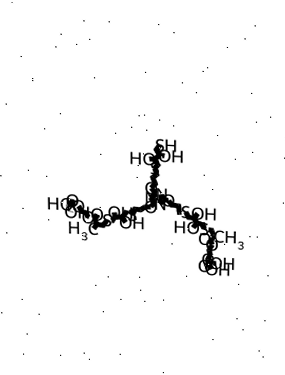 CC(CSCC(O)C(O)CSCCCOc1nc(OCCCSCC(O)C(O)CS)nc(OCCCSCC(O)C(O)CSCC(C)C(=O)OCCOP(=O)(O)O)n1)C(=O)OCCOP(=O)(O)O